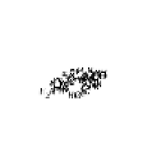 Nc1cc2c(nnn2[C@@H]2O[C@H](CO)C[C@H]2P(O)(=S)OC[C@H]2O[C@@H](n3nnc4c(N)ncnc43)[C@@H](F)[C@@H]2O)c(=O)[nH]1